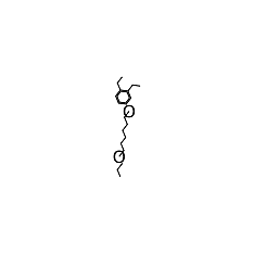 CCCOCCCCCCOc1ccc(CC)c(CC)c1